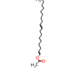 CCCCCCCCC=CCCCCCCC=COC(C)=O